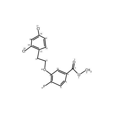 COC(=O)c1ccc(F)c(OCCc2ccc(Cl)cc2Cl)c1